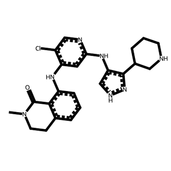 CN1CCc2cccc(Nc3cc(Nc4c[nH]nc4C4CCCNC4)ncc3Cl)c2C1=O